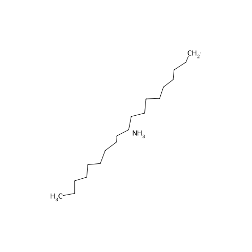 N.[CH2]CCCCCCCCCCCCCCCCCC